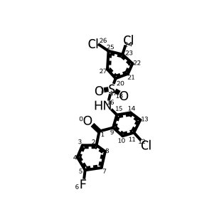 O=C(c1ccc(F)cc1)c1cc(Cl)ccc1NS(=O)(=O)c1ccc(Cl)c(Cl)c1